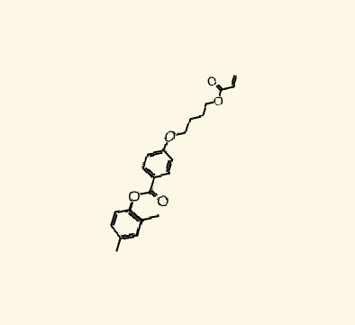 C=CC(=O)OCCCCOc1ccc(C(=O)Oc2ccc(C)cc2C)cc1